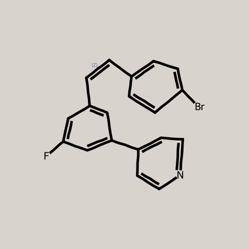 Fc1cc(/C=C\c2ccc(Br)cc2)cc(-c2ccncc2)c1